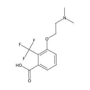 CN(C)CCOc1cccc(C(=O)O)c1C(F)(F)F